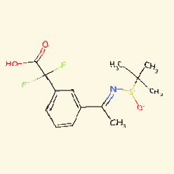 CC(=N[S+]([O-])C(C)(C)C)c1cccc(C(F)(F)C(=O)O)c1